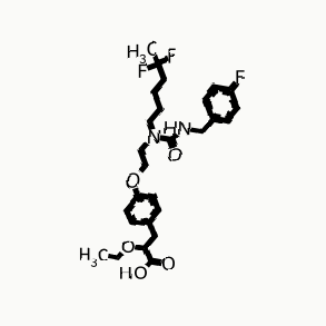 CCOC(Cc1ccc(OCCN(CCCCC(C)(F)F)C(=O)NCc2ccc(F)cc2)cc1)C(=O)O